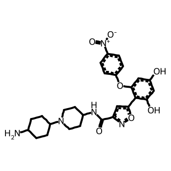 NC1CCC(N2CCC(NC(=O)c3cc(-c4c(O)cc(O)cc4Oc4ccc([N+](=O)[O-])cc4)on3)CC2)CC1